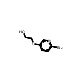 CC(C)(C)c1ccc(OCCO)cn1